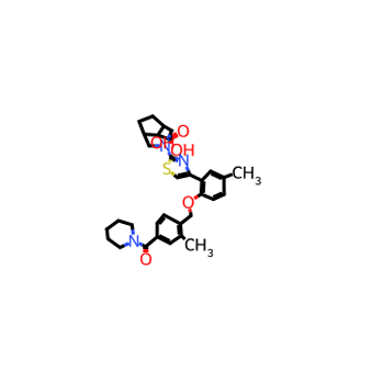 Cc1ccc(OCc2ccc(C(=O)N3CCCCC3)cc2C)c(-c2csc(N3CC4CCC(C3)C4(O)C(=O)O)n2)c1